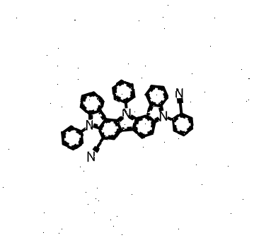 N#Cc1ccccc1-n1c2ccccc2c2c1ccc1c3cc(C#N)c4c(c5ccccc5n4-c4ccccc4)c3n(-c3ccccc3)c12